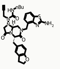 C#CCN(C(=O)NCCCC)N1CC(=O)N2[C@@H](Cc3ccc4c(c3)CCO4)C(=O)N(Cc3cccc4sc(N)nc34)C[C@@H]21